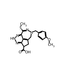 COc1ccc(CN2CC3=C4C(=NNN=C4C(C(=O)O)C3)C(SC)=N2)cc1